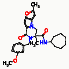 COc1cccc(CN2C(=O)c3cc4oc(C)cc4n3CC2(C)C(=O)NC2CCCCCC2)c1